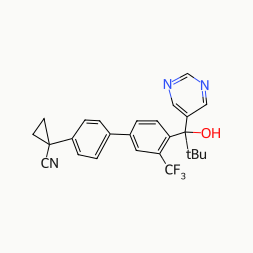 CC(C)(C)C(O)(c1cncnc1)c1ccc(-c2ccc(C3(C#N)CC3)cc2)cc1C(F)(F)F